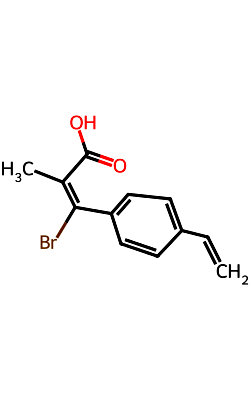 C=Cc1ccc(C(Br)=C(C)C(=O)O)cc1